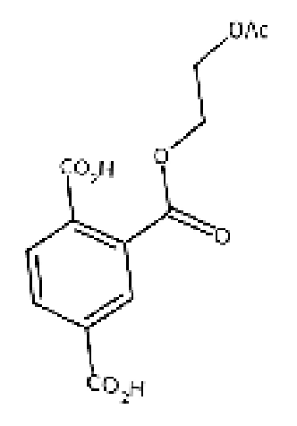 CC(=O)OCCOC(=O)c1cc(C(=O)O)ccc1C(=O)O